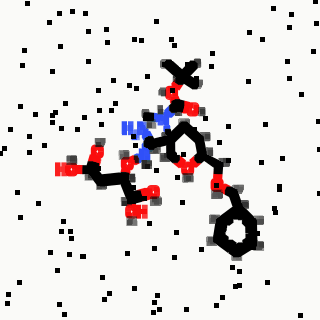 CN(C(=O)OC(C)(C)C)[C@]1(/C(N)=N/O/C(=C\C(=O)O)C(=O)O)CC[C@@H](COCc2ccccc2)OC1